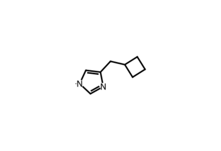 C1=NC(CC2CCC2)=C[N]1